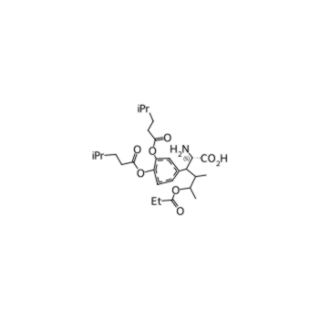 CCC(=O)OC(C)C(C)C(c1ccc(OC(=O)CCC(C)C)c(OC(=O)CCC(C)C)c1)[C@H](N)C(=O)O